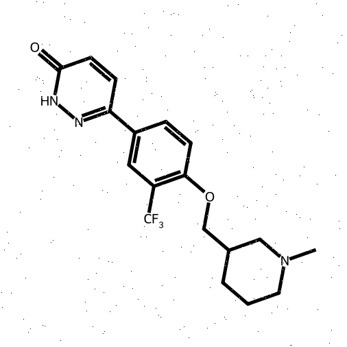 CN1CCCC(COc2ccc(-c3ccc(=O)[nH]n3)cc2C(F)(F)F)C1